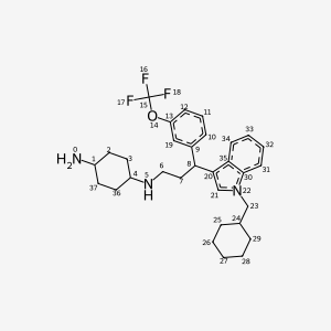 NC1CCC(NCCC(c2cccc(OC(F)(F)F)c2)c2cn(CC3CCCCC3)c3ccccc23)CC1